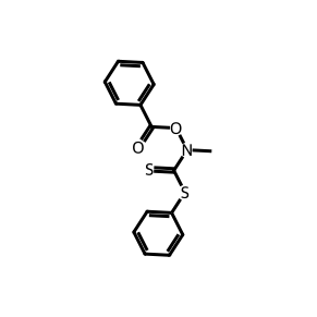 CN(OC(=O)c1ccccc1)C(=S)Sc1ccccc1